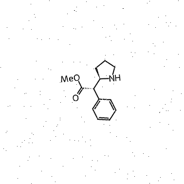 COC(=O)[C@@H](c1ccccc1)[C@H]1CCCN1